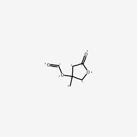 CC1(OC=O)COC(=O)C1